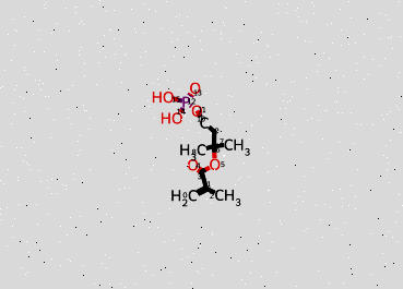 C=C(C)C(=O)OC(C)(C)CCOP(=O)(O)O